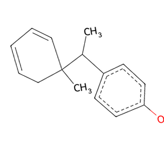 CC(c1ccc(O)cc1)C1(C)C=CC=CC1